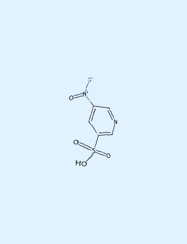 O=[N+]([O-])c1cncc(S(=O)(=O)O)c1